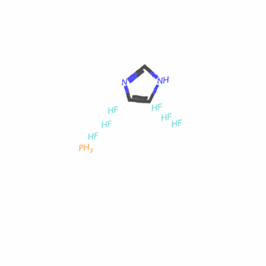 F.F.F.F.F.F.P.c1c[nH]cn1